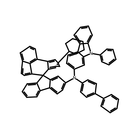 c1ccc(-c2ccc(N(c3ccc4c(c3)C3(c5ccccc5-4)c4ccc(C5CCCCC5)cc4-c4cccc5cccc3c45)c3ccc4c5ccccc5n(-c5ccccc5)c4c3)cc2)cc1